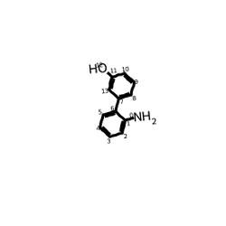 Nc1c[c]ccc1-c1cccc(O)c1